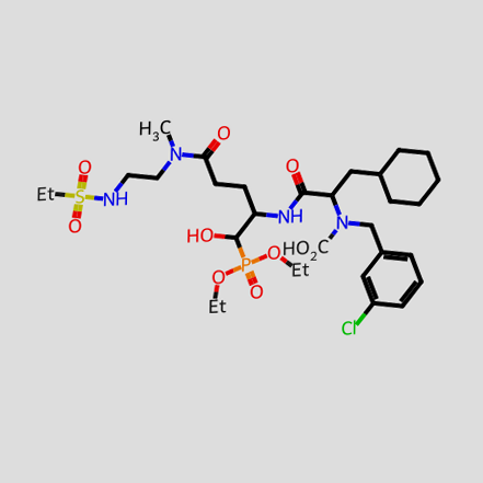 CCOP(=O)(OCC)C(O)C(CCC(=O)N(C)CCNS(=O)(=O)CC)NC(=O)C(CC1CCCCC1)N(Cc1cccc(Cl)c1)C(=O)O